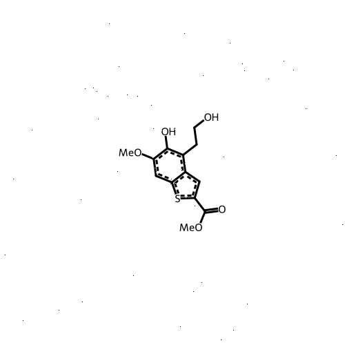 COC(=O)c1cc2c(CCO)c(O)c(OC)cc2s1